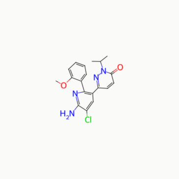 COc1ccccc1-c1nc(N)c(Cl)cc1-c1ccc(=O)n(C(C)C)n1